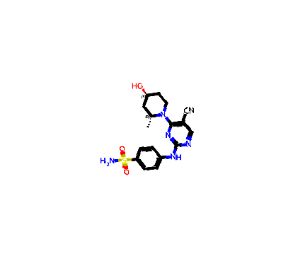 C[C@@H]1C[C@@H](O)CCN1c1nc(Nc2ccc(S(N)(=O)=O)cc2)ncc1C#N